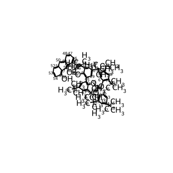 CC(C)(C)c1ccc(OP(Oc2ccc(C(C)(C)C)cc2C(C)(C)C)Oc2c(-c3cc(C(C)(C)C)cc(C(C)(C)C)c3OP3Oc4cccc5cc6cccc(O)c6c(c45)O3)cc(C(C)(C)C)cc2C(C)(C)C)c(C(C)(C)C)c1